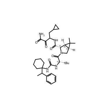 CC(c1ccccc1)C1(NC(=O)N[C@H](C(=O)N2C[C@H]3[C@@H]([C@H]2C(=O)NC(CC2CC2)C(=O)C(N)=O)C3(C)C)C(C)(C)C)CCCCC1